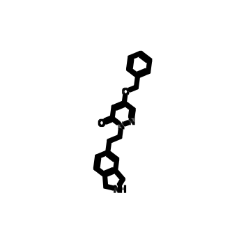 O=c1cc(OCc2ccccc2)cnn1CCc1ccc2c(c1)CNC2